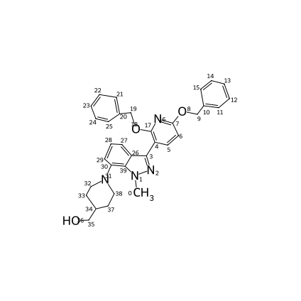 Cn1nc(-c2ccc(OCc3ccccc3)nc2OCc2ccccc2)c2cccc(N3CCC(CO)CC3)c21